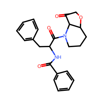 O=C(NC(Cc1ccccc1)C(=O)N1CCCC2OCC(=O)C21)c1ccccc1